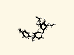 CCOc1cc(CN2CCC(Nc3ccc(C#N)cn3)CC2)cc(OCC)c1F